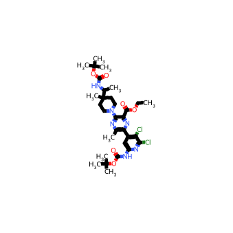 CCOC(=O)c1nc(-c2cc(NC(=O)OC(C)(C)C)nc(Cl)c2Cl)c(C)nc1N1CCC(C)(C(C)NC(=O)OC(C)(C)C)CC1